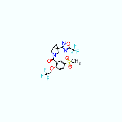 CS(=O)(=O)c1ccc(OCC(F)(F)F)c(C(=O)N2CC3CC3(c3noc(C(F)(F)F)n3)C2)c1